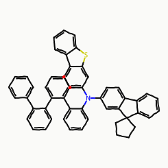 c1ccc(-c2ccccc2-c2ccccc2-c2ccccc2N(c2ccc3c(c2)C2(CCCC2)c2ccccc2-3)c2ccc3c(c2)sc2ccccc23)cc1